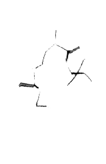 CN(CCOC(=O)OCCl)C(=O)OC(C)(C)C